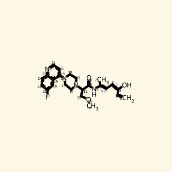 C=C/C(O)=C\C=C(/C)NC(=O)C(COC)N1CCN(c2ccnc3ccc(F)cc23)CC1